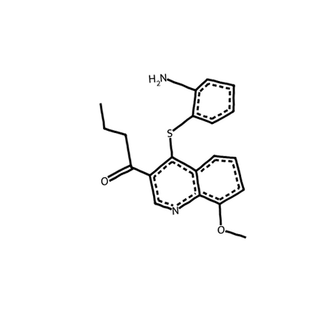 CCCC(=O)c1cnc2c(OC)cccc2c1Sc1ccccc1N